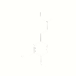 COc1nc(C=CC(=O)OC(C)(C)C)ccc1N